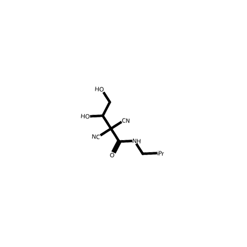 CC(C)CNC(=O)C(C#N)(C#N)C(O)CO